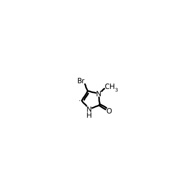 Cn1c(Br)[c][nH]c1=O